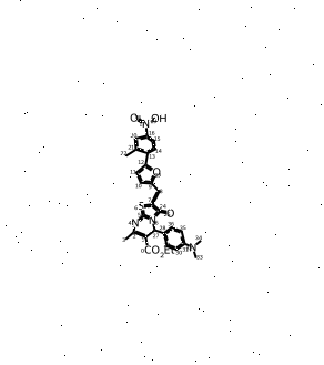 CCOC(=O)C1=C(C)N=c2s/c(=C\c3ccc(-c4ccc([N+](=O)O)cc4C)o3)c(=O)n2C1c1ccc(N(C)C)cc1